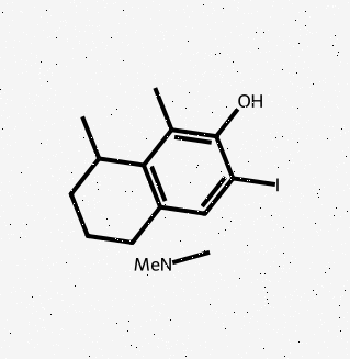 CNC.Cc1c(O)c(I)cc2c1C(C)CCC2